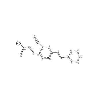 N#Cc1cc(C=Cc2ccncc2)ccc1C=CC(=O)O